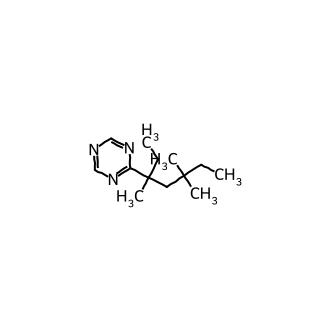 CCC(C)(C)CC(C)(CC)c1ncncn1